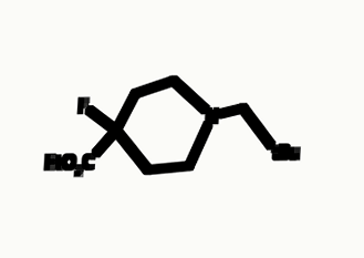 CCOC(=O)C1(F)CCN(CC(C)(C)C)CC1